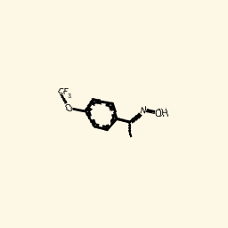 CC(=NO)c1ccc(OC(F)(F)F)cc1